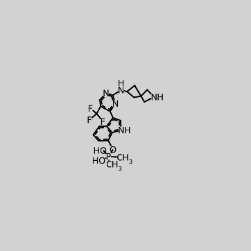 CP(C)(O)(O)Oc1cccc2c(-c3nc(NC4CC5(CNC5)C4)ncc3C(F)(F)F)c[nH]c12